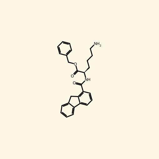 NCCCC[C@@H](NC(=O)c1cccc2c1Cc1ccccc1-2)C(=O)OCc1ccccc1